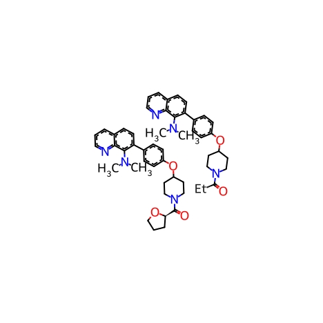 CCC(=O)N1CCC(Oc2ccc(-c3ccc4cccnc4c3N(C)C)cc2)CC1.CN(C)c1c(-c2ccc(OC3CCN(C(=O)[C@H]4CCCO4)CC3)cc2)ccc2cccnc12